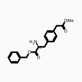 COC(=O)Cc1ccc(C[C@H](N)C(=O)OCc2ccccc2)cc1